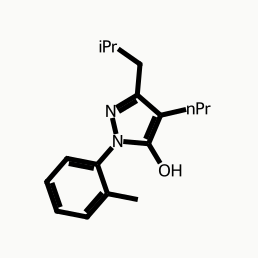 CCCc1c(CC(C)C)nn(-c2ccccc2C)c1O